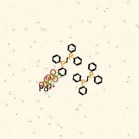 [O-][Cl+2]([O-])[O-].[O-][Cl+2]([O-])[O-].[Pd+2].c1ccc(P(CCP(c2ccccc2)c2ccccc2)c2ccccc2)cc1.c1ccc(P(CCP(c2ccccc2)c2ccccc2)c2ccccc2)cc1